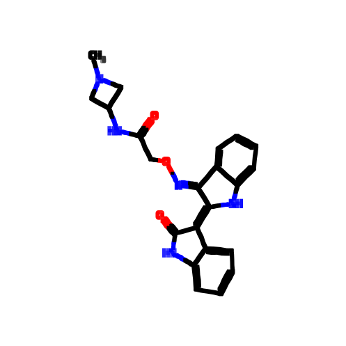 CN1CC(NC(=O)CO/N=C2/C(=C3\C(=O)Nc4ccccc43)Nc3ccccc32)C1